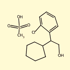 CS(=O)(=O)O.OCC(c1ccccc1Cl)C1CCCCC1